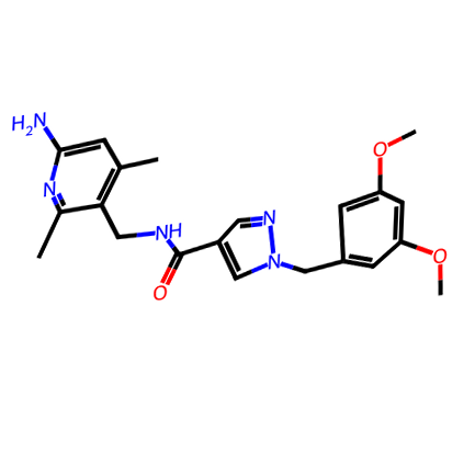 COc1cc(Cn2cc(C(=O)NCc3c(C)cc(N)nc3C)cn2)cc(OC)c1